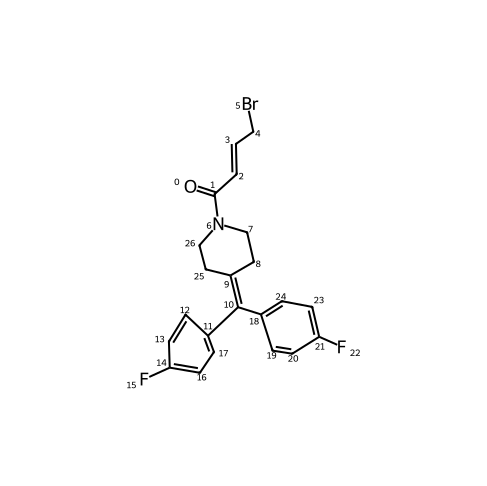 O=C(/C=C/CBr)N1CCC(=C(c2ccc(F)cc2)c2ccc(F)cc2)CC1